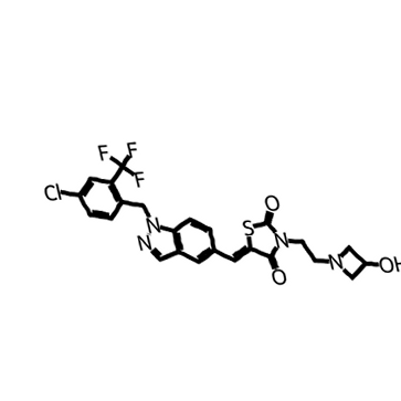 O=C1S/C(=C\c2ccc3c(cnn3Cc3ccc(Cl)cc3C(F)(F)F)c2)C(=O)N1CCN1CC(O)C1